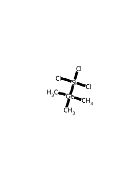 [CH3][Ge]([CH3])([CH3])[Si](Cl)(Cl)Cl